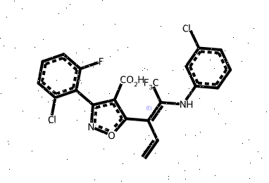 C=C/C(=C(\Nc1cccc(Cl)c1)C(F)(F)F)c1onc(-c2c(F)cccc2Cl)c1C(=O)O